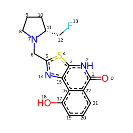 O=c1[nH]c2sc(CN3CCC[C@@H]3CF)nc2c2c(O)cccc12